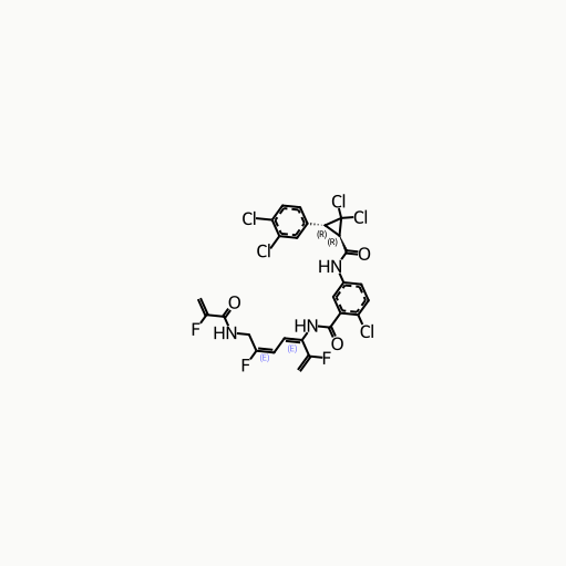 C=C(F)C(=O)NC/C(F)=C\C=C(\NC(=O)c1cc(NC(=O)[C@H]2[C@H](c3ccc(Cl)c(Cl)c3)C2(Cl)Cl)ccc1Cl)C(=C)F